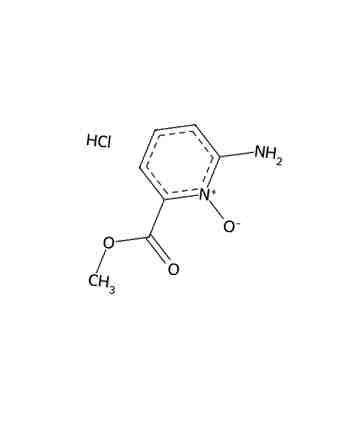 COC(=O)c1cccc(N)[n+]1[O-].Cl